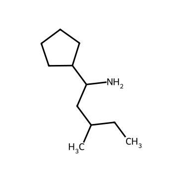 CCC(C)CC(N)C1CCCC1